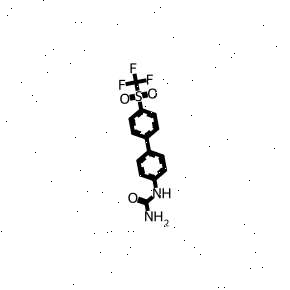 NC(=O)Nc1ccc(-c2ccc(S(=O)(=O)C(F)(F)F)cc2)cc1